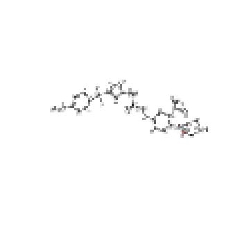 COc1ccc(C(C)(C)c2csc(NC(=O)NCc3ccc(N4CC5CC4CN5)c(C(N)=O)c3)n2)cc1